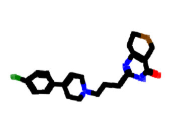 O=c1[nH]c(CCCN2CC=C(c3ccc(Cl)cc3)CC2)nc2c1CSCC2